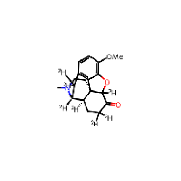 [2H]C1([2H])C[C@]2([2H])[C@@]34CCN(C)[C@]2([2H])C([2H])([2H])c2ccc(OC)c(c23)OC4([2H])C1=O